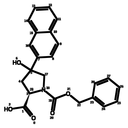 O=C(O)[C@@H]1CC(O)(c2ccc3ccccc3c2)CN1C(=O)OCc1ccccc1